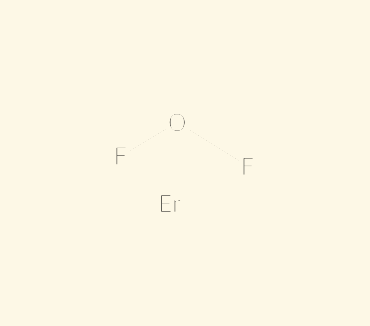 FOF.[Er]